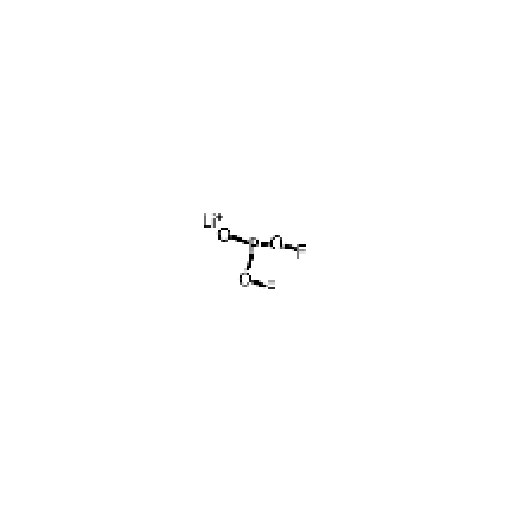 [Li+].[O-]P(OF)OF